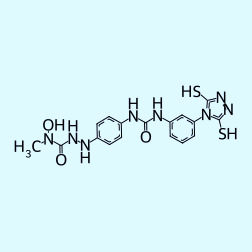 CN(O)C(=O)NNc1ccc(NC(=O)Nc2cccc(-n3c(S)nnc3S)c2)cc1